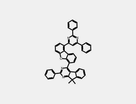 CC1(C)c2ccccc2-c2c(-c3cccc4c3oc3cccc(-c5cc(-c6ccccc6)nc(-c6ccccc6)n5)c34)nc(-c3ccccc3)nc21